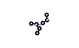 c1ccc(-c2cc(-c3ccc(-n4c5ccc(-c6ccccc6)nc5c5c6sc7ccccc7c6ccc54)cc3)ccn2)cc1